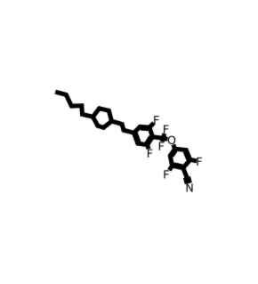 CCCCCC1CCC(CCc2cc(F)c(C(F)(F)Oc3cc(F)c(C#N)c(F)c3)c(F)c2)CC1